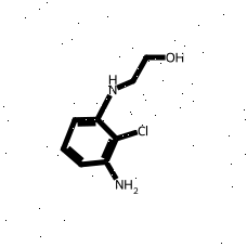 Nc1cccc(NCCO)c1Cl